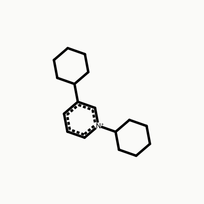 c1cc(C2CCCCC2)c[n+](C2CCCCC2)c1